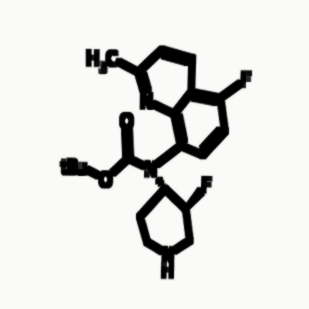 Cc1ccc2c(F)ccc(N(C(=O)OC(C)(C)C)[C@H]3CCNC[C@@H]3F)c2n1